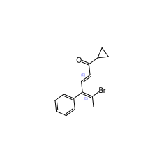 C/C(Br)=C(/C=C/C(=O)C1CC1)c1ccccc1